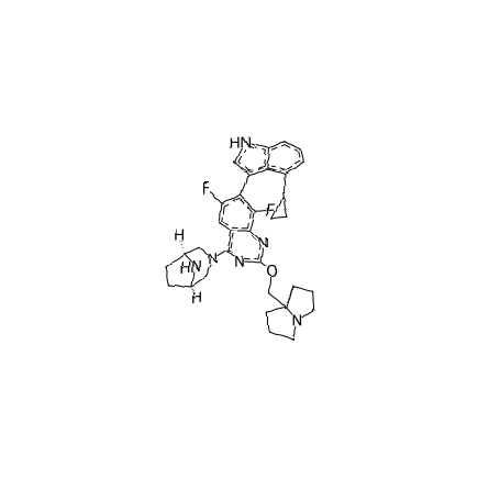 Fc1cc2c(N3C[C@H]4CC[C@@H](C3)N4)nc(OCC34CCCN3CCC4)nc2c(F)c1-c1c[nH]c2cccc(C3CC3)c12